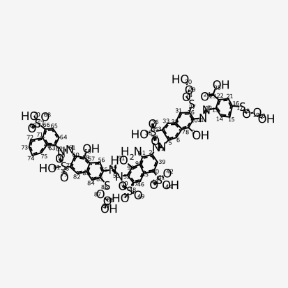 Nc1c(N=Nc2cc3c(O)c(N=Nc4ccc(SOOO)cc4C(=O)O)c(SOOO)cc3cc2S(=O)(=O)O)cc(S(=O)(=O)O)c2cc(S(=O)(=O)O)c(N=Nc3cc4c(O)c(N=Nc5ccc(S(=O)(=O)O)c6ccccc56)c(S(=O)(=O)O)cc4cc3SOOO)c(O)c12